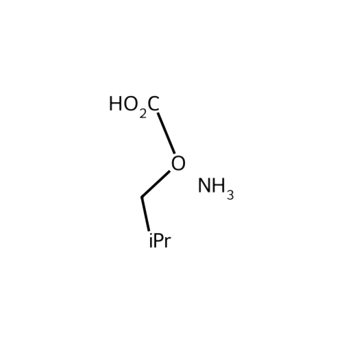 CC(C)COC(=O)O.N